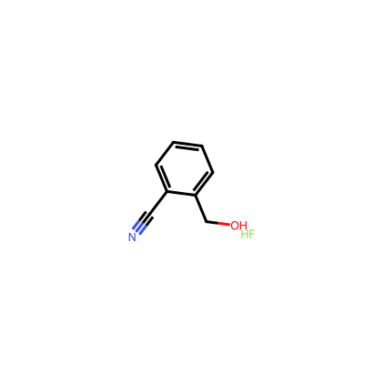 F.N#Cc1ccccc1CO